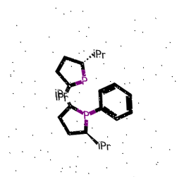 CC(C)C1CC[C@H](C(C)C)P1c1ccccc1[P@@]1C(C(C)C)CC[C@@H]1C(C)C